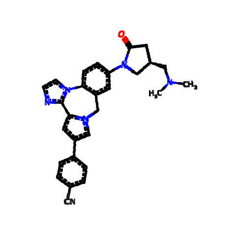 CN(C)C[C@@H]1CC(=O)N(c2ccc3c(c2)Cn2cc(-c4ccc(C#N)cc4)cc2-c2nccn2-3)C1